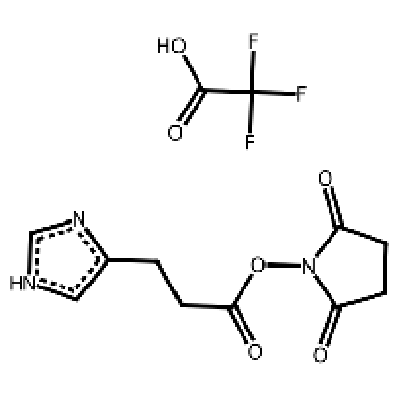 O=C(CCc1c[nH]cn1)ON1C(=O)CCC1=O.O=C(O)C(F)(F)F